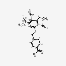 CCc1c(C#N)c(SCc2ccc(C(=O)O)cc2)nc(N(C)C)c1C#N